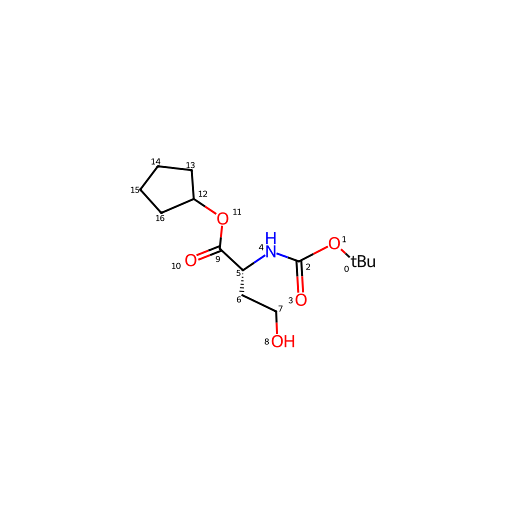 CC(C)(C)OC(=O)N[C@H](CCO)C(=O)OC1CCCC1